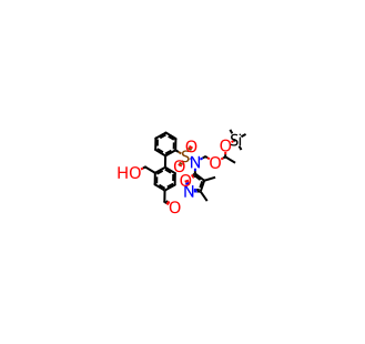 Cc1noc(N(COC(C)O[Si](C)(C)C)S(=O)(=O)c2ccccc2-c2ccc(C=O)cc2CO)c1C